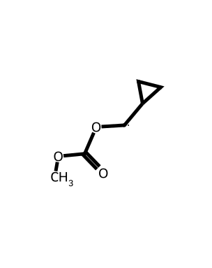 COC(=O)O[CH]C1CC1